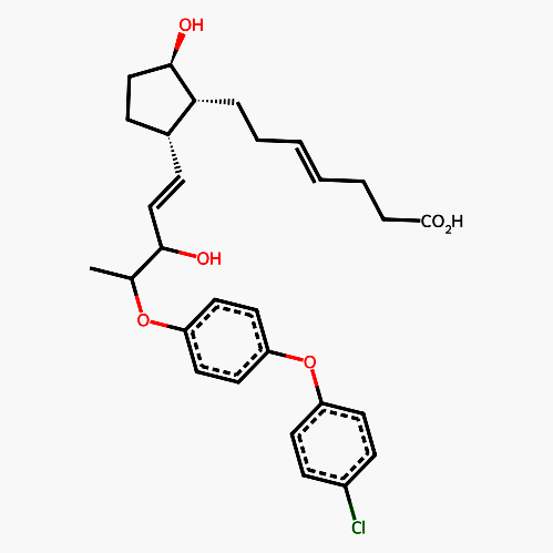 CC(Oc1ccc(Oc2ccc(Cl)cc2)cc1)C(O)C=C[C@@H]1CC[C@@H](O)[C@@H]1CCC=CCCC(=O)O